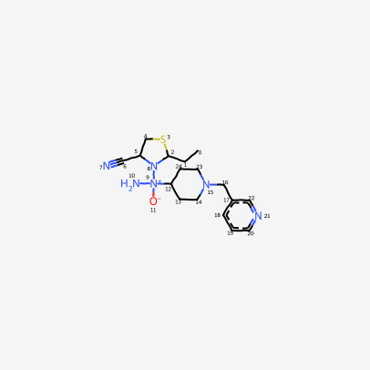 CCC1SCC(C#N)N1[N+](N)([O-])C1CCN(Cc2cccnc2)CC1